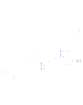 CC1(C(=O)NC23CC(NC(=O)COc4ccc(Cl)c(F)c4)(C2)C3)CCc2cc(Cl)ccc2O1